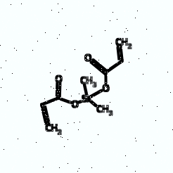 C=CC(=O)O[Si](C)(C)OC(=O)C=C